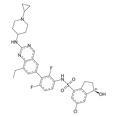 CCc1cc(-c2c(F)ccc(NS(=O)(=O)c3cc(Cl)cc4c3CC[C@H]4O)c2F)cc2cnc(NC3CCN(C4CC4)CC3)nc12